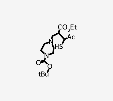 CCOC(=O)C(CN1CCN(C(=O)OC(C)(C)C)CC1)C(S)C(C)=O